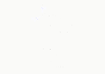 CCOC(=O)c1cccc(C#Cc2cccc3sc(C(=N)N)cc23)c1